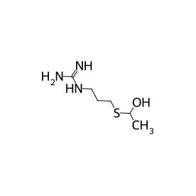 CC(O)SCCCNC(=N)N